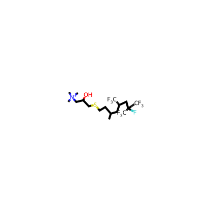 CC(CCSCC(O)C[N+](C)(C)C)CC(CC(F)(C(F)(F)F)C(F)(F)F)C(F)(F)F